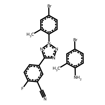 Cc1cc(Br)ccc1-n1nnc(-c2ccc(F)c(C#N)c2)n1.Cc1cc(Br)ccc1N